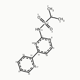 CC(C)S(=O)(=O)Nc1nccc(-c2ccccn2)n1